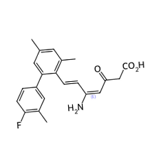 Cc1cc(C)c(C=C/C(N)=C\C(=O)CC(=O)O)c(-c2ccc(F)c(C)c2)c1